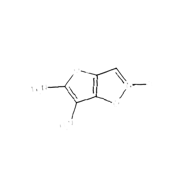 Nc1oc2c[n+]([O-])oc2c1N